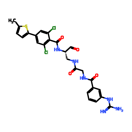 Cc1ccc(-c2cc(Cl)c(C(=O)N[C@H](C=O)CNC(=O)CNC(=O)c3cccc(NC(=N)N)c3)c(Cl)c2)s1